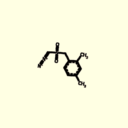 Cc1ccc(CS(=O)(=O)C=[N+]=[N-])c(C)c1